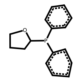 c1ccc(P(c2ccccc2)C2CCCO2)cc1